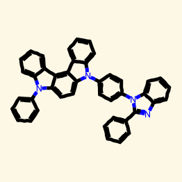 c1ccc(-c2nc3ccccc3n2-c2ccc(-n3c4ccccc4c4c5c6ccccc6n(-c6ccccc6)c5ccc43)cc2)cc1